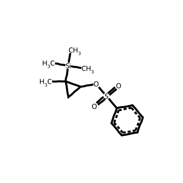 CC1([Si](C)(C)C)CC1OS(=O)(=O)c1ccccc1